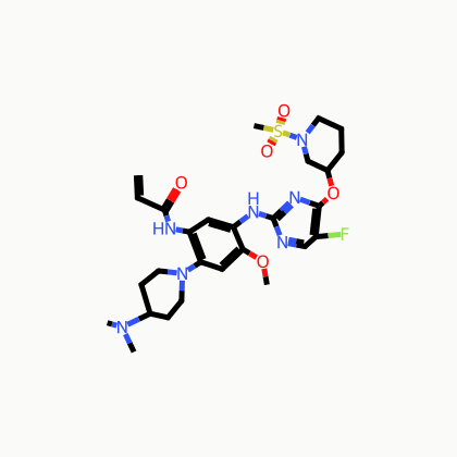 C=CC(=O)Nc1cc(Nc2ncc(F)c(OC3CCCN(S(C)(=O)=O)C3)n2)c(OC)cc1N1CCC(N(C)C)CC1